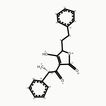 C[C@H](C(=O)C1=C(O)C(CCc2ccccc2)OC1=O)c1ccccc1